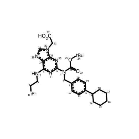 CC(C)CCNc1nc(N(Cc2ccc(C3CCCCC3)cc2)C(=O)OC(C)(C)C)nc2c1ncn2CC(=O)O